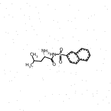 CC(C)C[C@H](N)C(=O)NS(=O)(=O)c1ccc2ccccc2c1